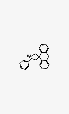 NCC1(CCc2ccccc2)c2ccccc2Cc2ccccc21